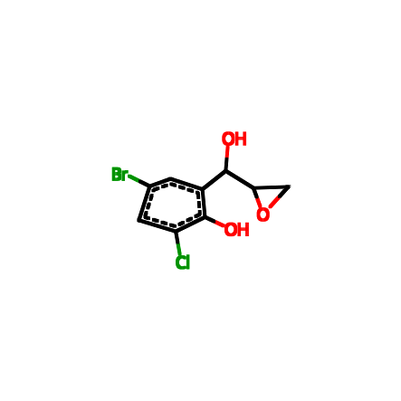 Oc1c(Cl)cc(Br)cc1C(O)C1CO1